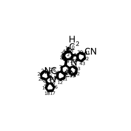 C=CC/C=C\C=C(/Cc1c(C#N)ccc(-n2c3ccccc3c3ccccc32)c1C#N)c1ccccc1-n1c2c(c3cc(C#N)ccc31)C=CCC2